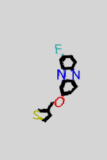 Fc1ccc2nc3ccc(OCc4ccsc4)cc3nc2c1